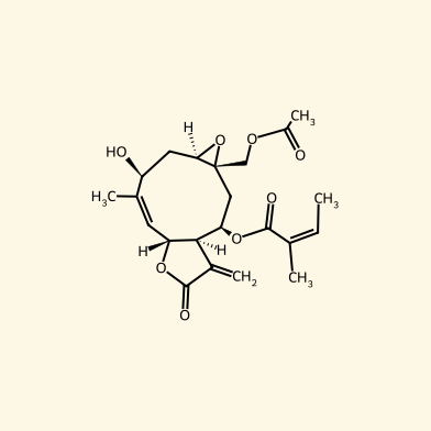 C=C1C(=O)O[C@@H]2/C=C(/C)[C@@H](O)C[C@H]3O[C@]3(COC(C)=O)C[C@@H](OC(=O)/C(C)=C\C)[C@@H]12